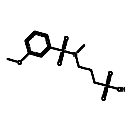 COc1cccc(S(=O)(=O)N(C)CCCS(=O)(=O)O)c1